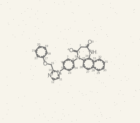 O=C1CC(=O)N(c2ccc(-n3ccnc3COc3ccccc3)cc2)c2ccc3ccccc3c2N1